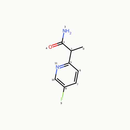 CC(C(N)=O)c1ccc(F)cn1